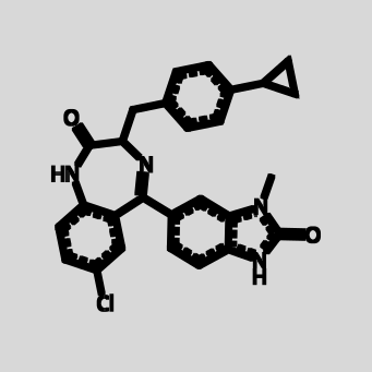 Cn1c(=O)[nH]c2ccc(C3=NC(Cc4ccc(C5CC5)cc4)C(=O)Nc4ccc(Cl)cc43)cc21